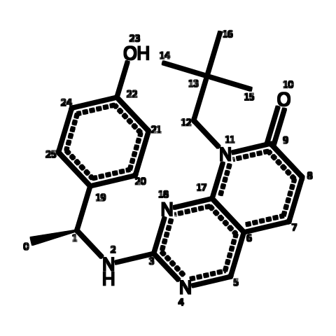 C[C@H](Nc1ncc2ccc(=O)n(CC(C)(C)C)c2n1)c1ccc(O)cc1